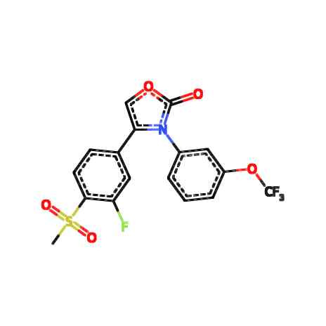 CS(=O)(=O)c1ccc(-c2coc(=O)n2-c2cccc(OC(F)(F)F)c2)cc1F